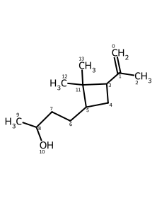 C=C(C)C1CC(CCC(C)O)C1(C)C